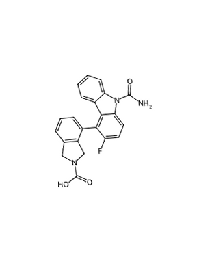 NC(=O)n1c2ccccc2c2c(-c3cccc4c3CN(C(=O)O)C4)c(F)ccc21